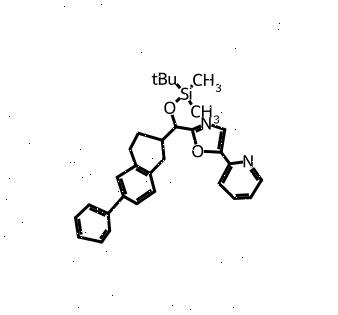 CC(C)(C)[Si](C)(C)OC(c1ncc(-c2ccccn2)o1)C1CCc2cc(-c3ccccc3)ccc2C1